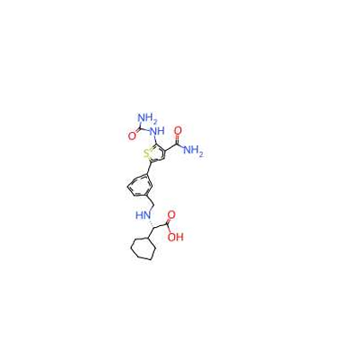 NC(=O)Nc1sc(-c2cccc(CN[C@H](C(=O)O)C3CCCCC3)c2)cc1C(N)=O